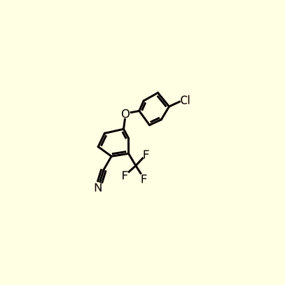 N#Cc1ccc(Oc2ccc(Cl)cc2)cc1C(F)(F)F